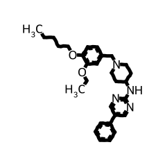 CCCCCOc1ccc(CN2CCC(Nc3ncc(-c4ccccc4)cn3)CC2)cc1OCC